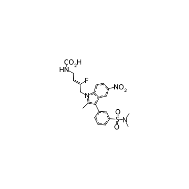 Cc1c(-c2cccc(S(=O)(=O)N(C)C)c2)c2cc([N+](=O)[O-])ccc2n1CC(F)=CCNC(=O)O